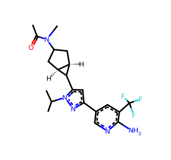 CC(=O)N(C)C1C[C@@H]2C(c3cc(-c4cnc(N)c(C(F)(F)F)c4)nn3C(C)C)[C@@H]2C1